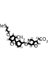 CSCCCOc1cc(C)c(-c2cccc(COc3cc4c(cn3)[C@H](CC(=O)O)CO4)c2)c(C)c1